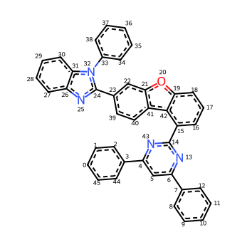 c1ccc(-c2cc(-c3ccccc3)nc(-c3cccc4oc5cc(-c6nc7ccccc7n6-c6ccccc6)ccc5c34)n2)cc1